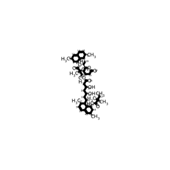 CCC(C)(C)C(=O)O[C@H]1C[C@@H](C)C=C2C=C[C@H](C)[C@H](CC[C@@H]3C[C@@H](OC(=O)C[C@@H](O)C[C@H](O)CCC4[C@@H](C)C=CC5=C[C@H](C)C[C@H](OC(=O)C(C)(C)CC)[C@@H]54)CC(=O)O3)[C@@H]21